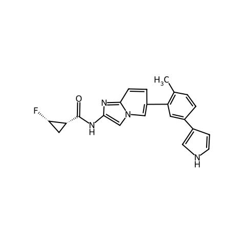 Cc1ccc(-c2cc[nH]c2)cc1-c1ccc2nc(NC(=O)[C@@H]3C[C@@H]3F)cn2c1